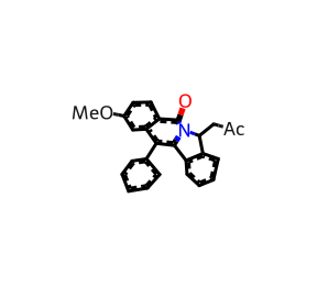 COc1ccc2c(=O)n3c(c(-c4ccccc4)c2c1)-c1ccccc1C3CC(C)=O